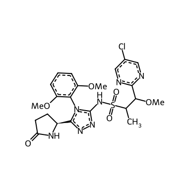 COc1cccc(OC)c1-n1c(NS(=O)(=O)C(C)C(OC)c2ncc(Cl)cn2)nnc1[C@@H]1CCC(=O)N1